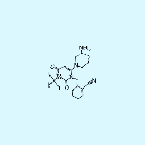 N#CC1=CCCC=C1Cn1c(N2CCC[C@H](N)C2)cc(=O)n(C(I)(I)I)c1=O